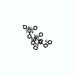 c1ccc(-c2nc(-c3ccccc3)nc(-c3cccc(-n4c5ccc6c7ccccc7n(-c7cccc(-c8cccc9c8sc8ccccc89)c7)c6c5c5c4nc(-c4ccccc4)n5-c4ccccc4)c3)n2)cc1